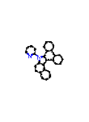 c1ccc(-n2c3ccc4ccccc4c3c3c4ccccc4c4ccccc4c32)nc1